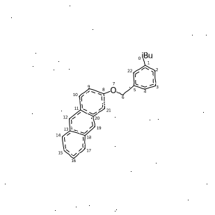 CCC(C)c1cccc(COc2ccc3cc4ccccc4cc3c2)c1